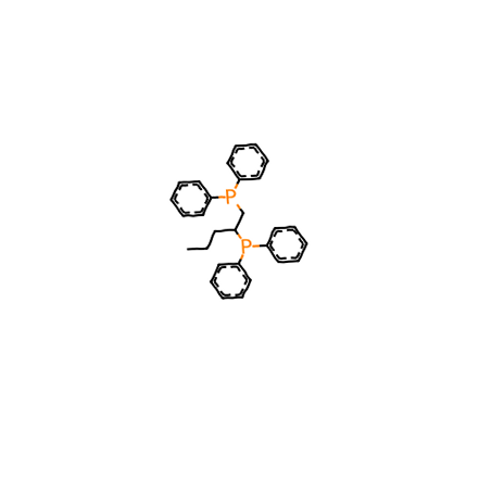 CCCC(CP(c1ccccc1)c1ccccc1)P(c1ccccc1)c1ccccc1